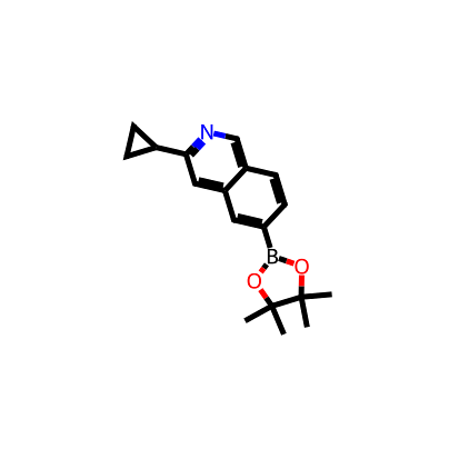 CC1(C)OB(c2ccc3cnc(C4CC4)cc3c2)OC1(C)C